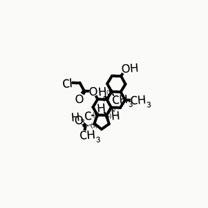 CC(=O)[C@H]1CC[C@H]2[C@@H]3CC(C)C4CC(O)CC[C@]4(C)[C@H]3C(OC(=O)CCl)C[C@]12C